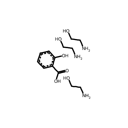 NCCO.NCCO.NCCO.O=C(O)c1ccccc1O